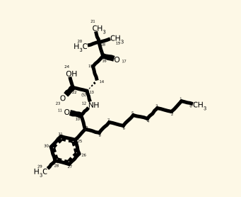 CCCCCCCCCC(C(=O)N[C@@H](CCC(=O)C(C)(C)C)C(=O)O)c1ccc(C)cc1